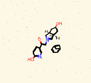 O=C(CN1C[C@H]2CC(O)C[C@H]2C1)c1ccc(O)nc1.c1cc2cc(c1)C2